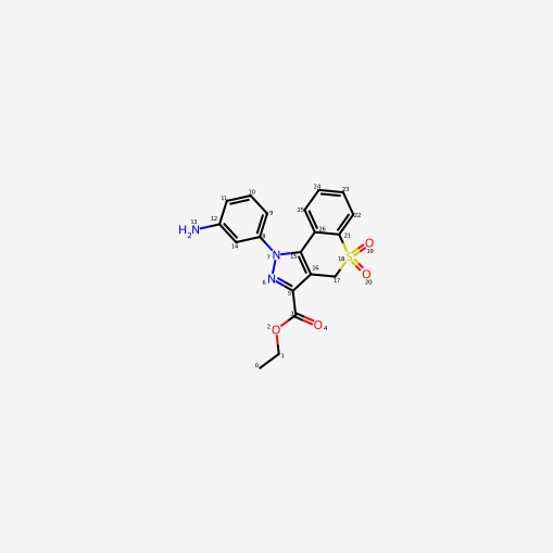 CCOC(=O)c1nn(-c2cccc(N)c2)c2c1CS(=O)(=O)c1ccccc1-2